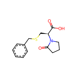 O=C(O)[C@H](CSCc1ccccc1)N1CCCC1=O